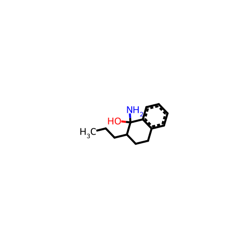 CCCC1CCc2ccccc2C1(N)O